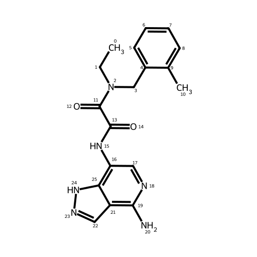 CCN(Cc1ccccc1C)C(=O)C(=O)Nc1cnc(N)c2cn[nH]c12